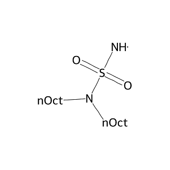 CCCCCCCCN(CCCCCCCC)S([NH])(=O)=O